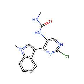 CNC(=O)Nc1cnc(Cl)nc1-c1cn(C)c2ccccc12